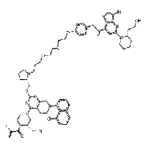 C=C(F)C(=O)N1CCN(c2nc(OC[C@@H]3CCCN3CCCOCCOCCOc3ccc(CNc4cc(N5CCCC[C@H]5CCO)nc5c(CC)cnn45)cn3)nc3c2CCN(c2cccc4cccc(Cl)c24)C3)C[C@@H]1CC#N